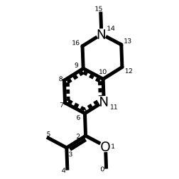 COC(=C(C)C)c1ccc2c(n1)CCN(C)C2